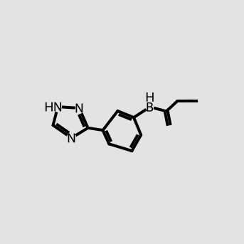 C=C(Bc1cccc(-c2nc[nH]n2)c1)CC